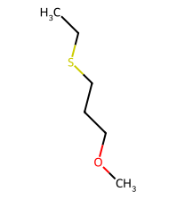 CCSCCCOC